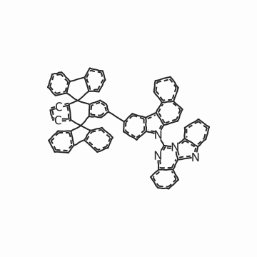 c1ccc2c(c1)-c1ccccc1C21c2ccccc2C2(c3ccccc3-c3ccccc32)c2cc(-c3ccc4c(c3)c3c5ccccc5ccc3n4-c3nc4ccccc4c4nc5ccccc5n34)ccc21